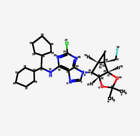 CC1(C)O[C@H]2[C@H](n3cnc4c(NC(C5CCCCC5)C5CCCCC5)nc(Cl)nc43)[C@H]3C[C@@]3(CF)[C@H]2O1